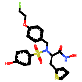 O=C(NO)[C@@H](Cc1cccs1)N(Cc1ccc(OCCF)cc1)S(=O)(=O)c1ccc(O)cc1